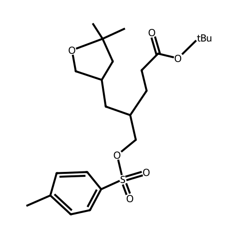 Cc1ccc(S(=O)(=O)OCC(CCC(=O)OC(C)(C)C)CC2COC(C)(C)C2)cc1